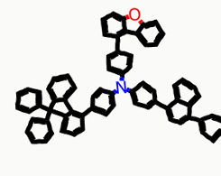 c1ccc(-c2ccc(-c3ccc(N(c4ccc(-c5cccc6c5-c5ccccc5C6(c5ccccc5)c5ccccc5)cc4)c4ccc(-c5cccc6oc7ccccc7c56)cc4)cc3)c3ccccc23)cc1